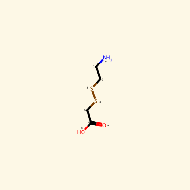 NCCSSCC(=O)O